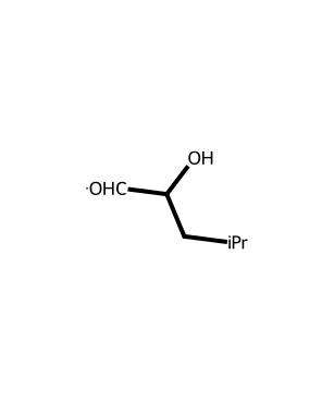 CC(C)CC(O)[C]=O